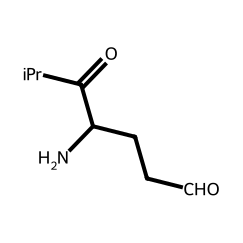 CC(C)C(=O)C(N)CCC=O